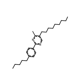 CCCCCCCCCc1cnc(-c2ccc(CCCCC)cc2)nc1C